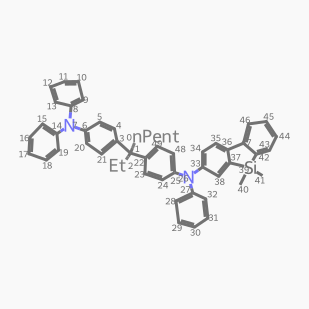 CCCCCC(CC)(c1ccc(N(c2ccccc2)c2ccccc2)cc1)c1ccc(N(c2ccccc2)c2ccc3c(c2)[Si](C)(C)c2ccccc2-3)cc1